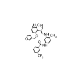 C/N=C\C(=C/Nc1cc(NC(=O)c2cccc(C(F)(F)F)c2)ccc1C)c1cnccc1OCc1ccoc1